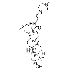 CN1CCN(CCNC(=O)[C@]23CCC(C)(C)CC2=C2CC[C@@H]4[C@@]5(C)CC[C@H](O)C(C)(C)[C@@H]5CC[C@@]4(C)[C@]2(C)CC3)CC1